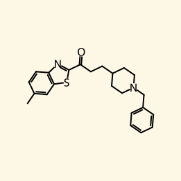 Cc1ccc2nc(C(=O)CCC3CCN(Cc4ccccc4)CC3)sc2c1